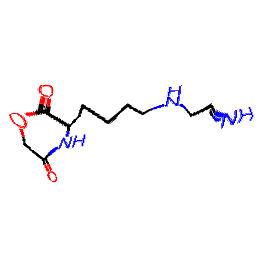 N=CCNCCCCC1NC(=O)COC1=O